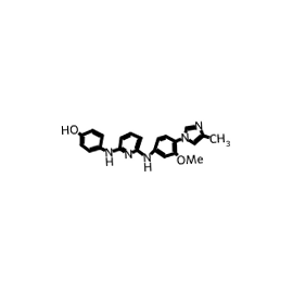 COc1cc(Nc2cccc(Nc3ccc(O)cc3)n2)ccc1-n1cnc(C)c1